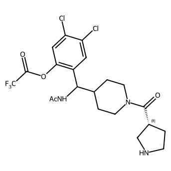 CC(=O)NC(c1cc(Cl)c(Cl)cc1OC(=O)C(F)(F)F)C1CCN(C(=O)[C@@H]2CCNC2)CC1